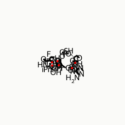 CC(C)[Si](O)(O[Si](O[C@H]1[C@H]2OP(=O)(S)OC[C@@]34CO[C@@H]([C@H](n5cnc6c(N)ncnc65)O3)[C@@H]4OP(=O)(O)OC[C@H]1O[C@H]2n1cc(F)c2c(=O)[nH]cnc21)(C(C)C)C(C)C)C(C)C